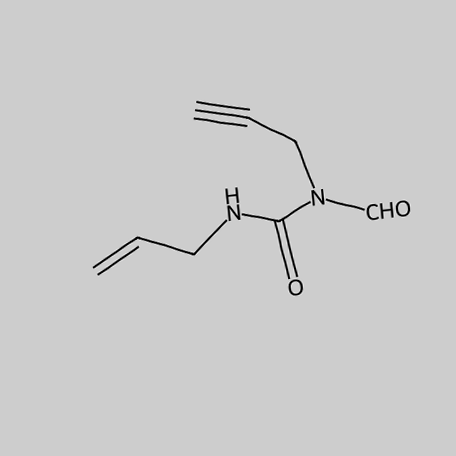 C#CCN(C=O)C(=O)NCC=C